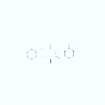 COC(=O)C(=Cc1ccc(F)c(OC)c1)NC(=O)OCc1ccccc1